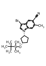 Cc1cc2c(cc1C#N)c(Br)cn2[C@@H]1CC[C@H](O[Si](C)(C)C(C)(C)C)C1